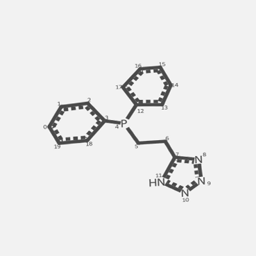 c1ccc(P(CCc2nnn[nH]2)c2ccccc2)cc1